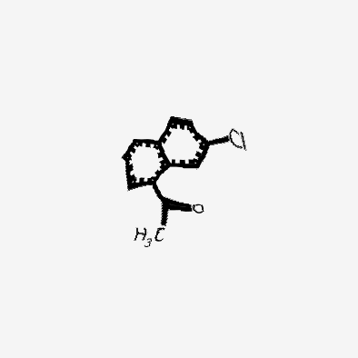 CC(=O)c1cccc2ccc(Cl)cc12